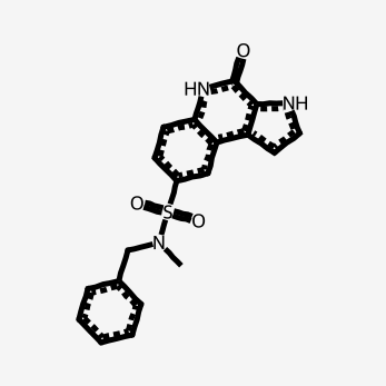 CN(Cc1ccccc1)S(=O)(=O)c1ccc2[nH]c(=O)c3[nH]ccc3c2c1